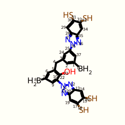 Bc1cc(Cc2cc(B)cc(-n3nc4cc(S)c(S)cc4n3)c2O)cc(-n2nc3cc(S)c(S)cc3n2)c1